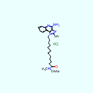 CCCc1nc2c(N)nc3ccccc3c2n1CCCCCCCCCCCC(=O)N(C)OC.Cl